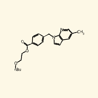 CCCCOCCOC(=O)c1ccc(Cn2ccc3cc(C)cnc32)cc1